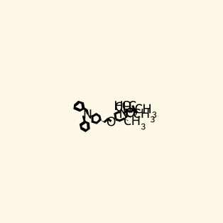 C[C@@H]1CC(OCC[C@H]2CC[C@H](N(Cc3ccccc3)Cc3ccccc3)CC2)C[C@H](C)N1C(=O)OC(C)(C)C